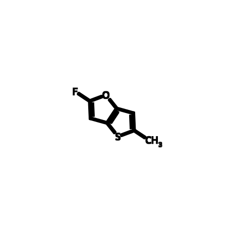 Cc1cc2oc(F)cc2s1